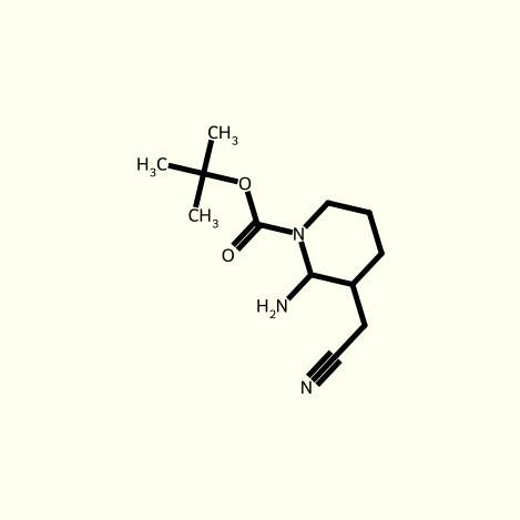 CC(C)(C)OC(=O)N1CCCC(CC#N)C1N